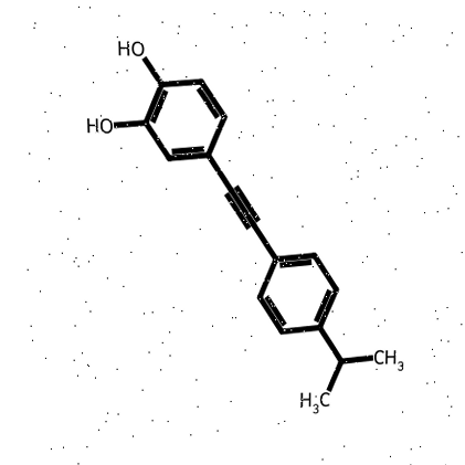 CC(C)c1ccc(C#Cc2ccc(O)c(O)c2)cc1